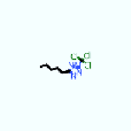 CCCCCc1nnn(C(Cl)(Cl)Cl)n1